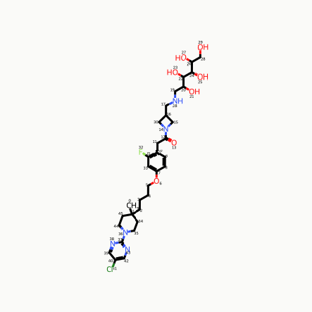 CC1(CCCCOc2ccc(CC(=O)N3CC(CNCC(O)C(O)C(O)C(O)CO)C3)c(F)c2)CCN(c2ncc(Cl)cn2)CC1